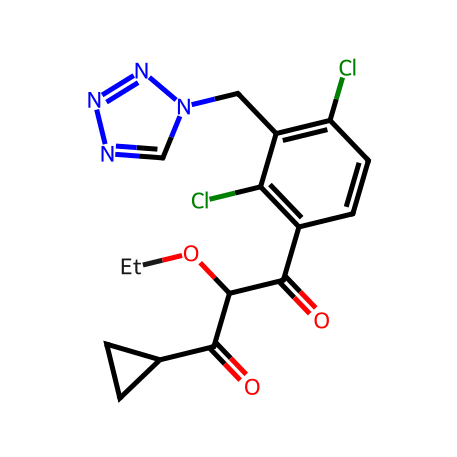 CCOC(C(=O)c1ccc(Cl)c(Cn2cnnn2)c1Cl)C(=O)C1CC1